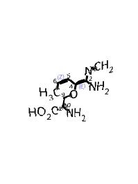 C=N/C(N)=C(\C=C/C)OC[C@H](N)C(=O)O